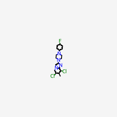 Cc1c(Cl)cn2cc(N3CCN(c4ccc(F)cc4)CC3)nc2c1Cl